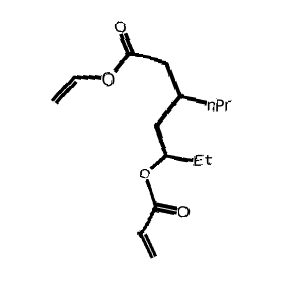 C=COC(=O)CC(CCC)CC(CC)OC(=O)C=C